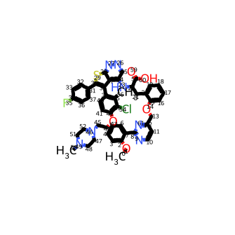 COc1ccccc1-c1nccc(COc2ccccc2CC(Nc2cnnc3sc(-c4ccc(F)cc4)c(-c4ccc(OCCN5CCN(C)CC5)c(Cl)c4C)c23)C(=O)O)n1